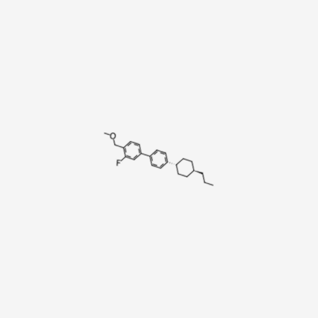 CCC[C@H]1CC[C@H](c2ccc(-c3ccc(COC)c(F)c3)cc2)CC1